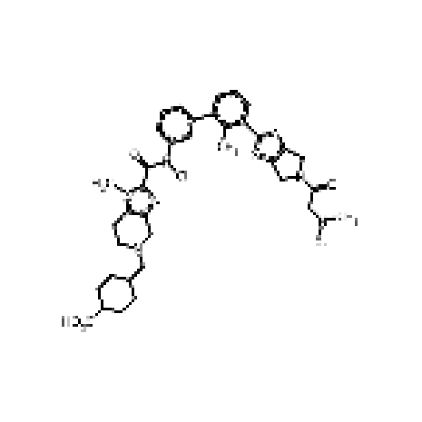 CCN(C)CC(=O)N1Cc2nc(-c3cccc(-c4cccc(N(Cl)C(=O)c5nc6c(n5C)CCN(CC5CCC(C(=O)O)CC5)C6)c4)c3C)sc2C1